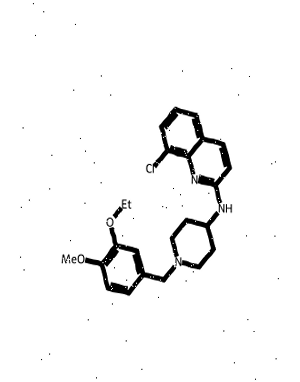 CCOc1cc(CN2CCC(Nc3ccc4cccc(Cl)c4n3)CC2)ccc1OC